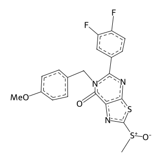 COc1ccc(Cn2c(-c3ccc(F)c(F)c3)nc3sc([S+](C)[O-])nc3c2=O)cc1